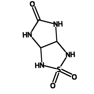 O=C1NC2NS(=O)(=O)NC2N1